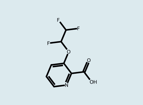 O=C(O)c1ncccc1OC(F)C(F)F